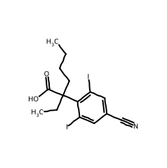 CCCCC(CC)(C(=O)O)c1c(I)cc(C#N)cc1I